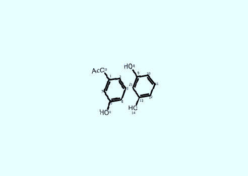 CC(=O)Oc1cccc(O)c1.Oc1cccc(O)c1